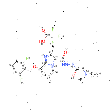 Cc1cc(OCc2c(F)cccc2F)c2nc(C)c(C(=O)NNC(=O)CN(C(=O)O)C(C)(C)C)n2c1.O=C(O)C(F)(F)F